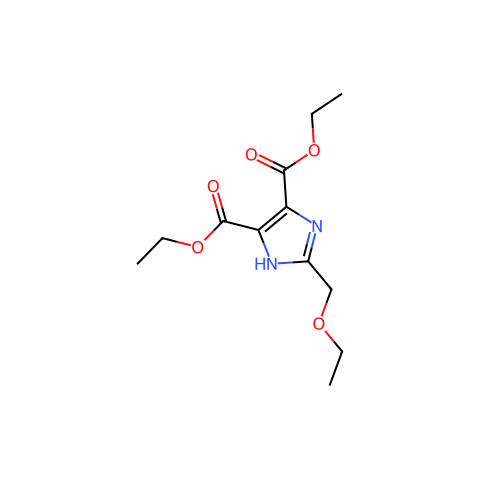 CCOCc1nc(C(=O)OCC)c(C(=O)OCC)[nH]1